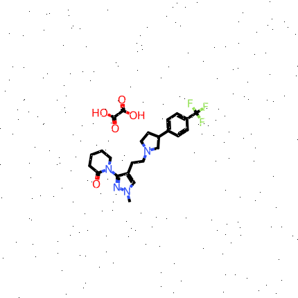 Cn1cc(CCN2CCC(c3ccc(C(F)(F)F)cc3)C2)c(N2CCCCC2=O)n1.O=C(O)C(=O)O